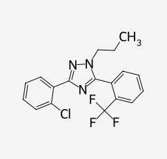 CCCn1nc(-c2ccccc2Cl)nc1-c1ccccc1C(F)(F)F